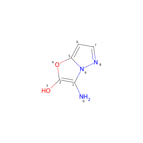 Nc1c(O)oc2ccnn12